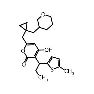 CCC(c1ccc(C)s1)c1c(O)cc(CC2(CC3CCCOC3)CC2)oc1=O